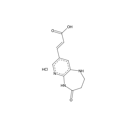 Cl.O=C(O)C=Cc1cnc2c(c1)NCCC(=O)N2